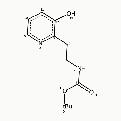 CC(C)(C)OC(=O)NCCc1ncccc1O